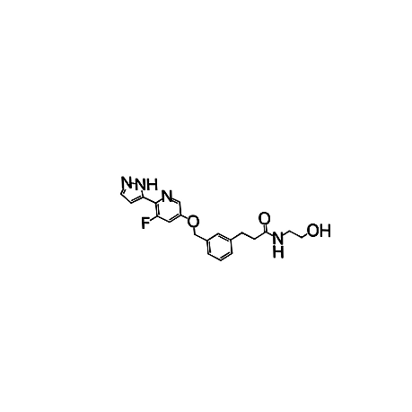 O=C(CCc1cccc(COc2cnc(-c3ccn[nH]3)c(F)c2)c1)NCCO